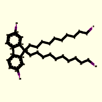 ICCCCCCCCCCC1(CCCCCCCCCCI)c2cc(I)ccc2-c2ccc(I)cc21